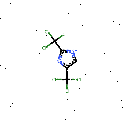 ClC(Cl)(Cl)c1c[nH]c(C(Cl)(Cl)Cl)n1